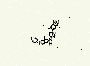 Cc1cc2nn(C)cc2cc1-c1ccc(N[C@@H]2CC3CN(CC4CCOCC4)C[C@H]3C2)nn1